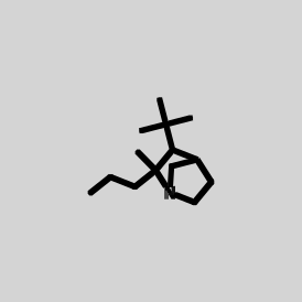 CCCC1(C)C(C(C)(C)C)C2CCN1C2